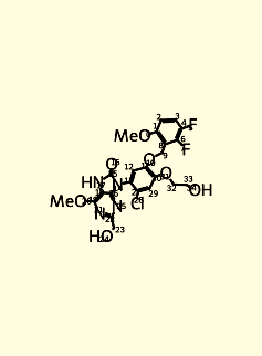 COc1ccc(F)c(F)c1COc1cc(-n2c(=O)[nH]c3c(OC)nc(CO)nc32)c(Cl)cc1OCCO